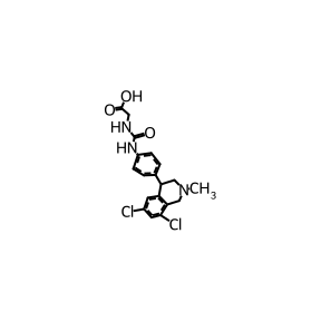 CN1Cc2c(Cl)cc(Cl)cc2C(c2ccc(NC(=O)NCC(=O)O)cc2)C1